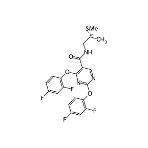 CS[C@H](C)CNC(=O)c1cnc(Oc2ccc(F)cc2F)nc1Oc1ccc(F)cc1F